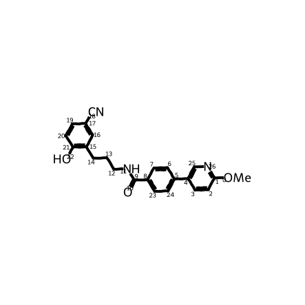 COc1ccc(-c2ccc(C(=O)NCCCc3cc(C#N)ccc3O)cc2)cn1